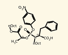 CCCCCCCCOC(=O)[C@H](C)OP(=O)(Oc1ccc([N+](=O)[O-])cc1)N(CCCCCCCC)[C@@H](Cc1ccccc1)C(=O)O